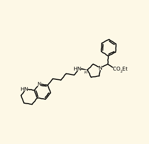 CCOC(=O)C(c1ccccc1)N1CC[C@@H](NCCCCc2ccc3c(n2)NCCC3)C1